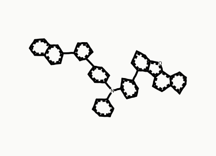 c1ccc(N(c2ccc(-c3cccc(-c4ccc5ccccc5c4)c3)cc2)c2cccc(-c3cccc4oc5c6ccccc6ccc5c34)c2)cc1